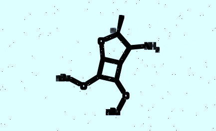 CCCCOC1C(OCCCC)C2C1O[C@@H](C)C2N